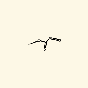 CC(C)OC(=O)N=S